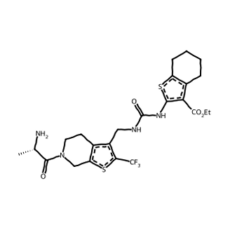 CCOC(=O)c1c(NC(=O)NCc2c(C(F)(F)F)sc3c2CCN(C(=O)[C@H](C)N)C3)sc2c1CCCC2